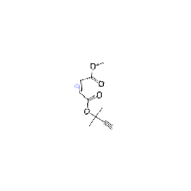 C#CC(C)(C)OC(=O)/C=C\C(=O)OC